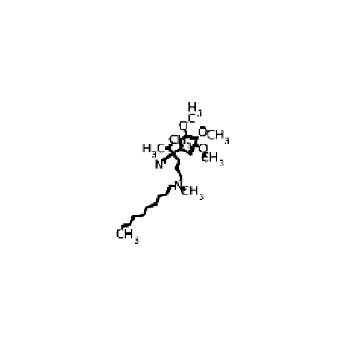 CCCCCCCCCCN(C)CCCC(C#N)(c1cc(OC)c(OC)c(OC)c1)C(C)C